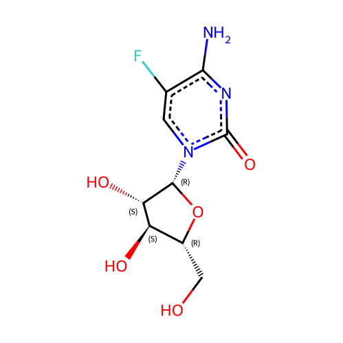 Nc1nc(=O)n([C@@H]2O[C@H](CO)[C@@H](O)[C@@H]2O)cc1F